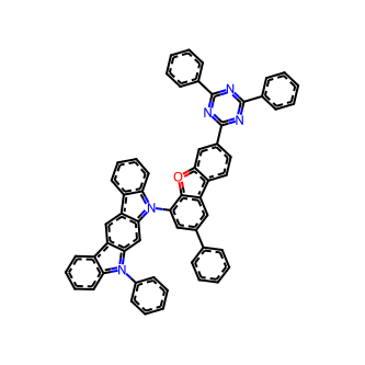 c1ccc(-c2cc(-n3c4ccccc4c4cc5c6ccccc6n(-c6ccccc6)c5cc43)c3oc4cc(-c5nc(-c6ccccc6)nc(-c6ccccc6)n5)ccc4c3c2)cc1